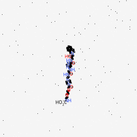 O=C(O)NCCOCCOCC(=O)N1CCN(CCNC(=O)CNc2cc(C(=O)NCC(O)CN3CCc4ccccc4C3)ncn2)CC1